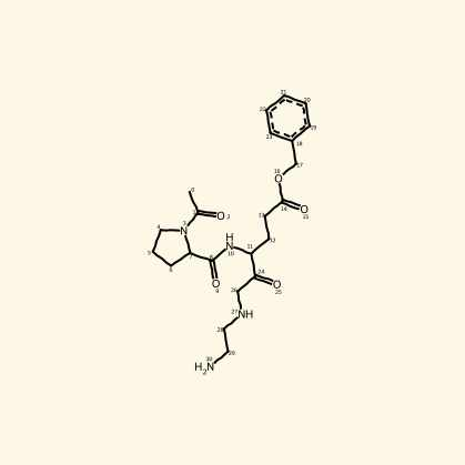 CC(=O)N1CCCC1C(=O)NC(CCC(=O)OCc1ccccc1)C(=O)CNCCN